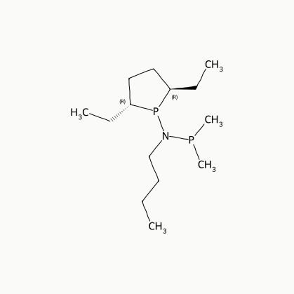 CCCCN(P(C)C)P1[C@H](CC)CC[C@H]1CC